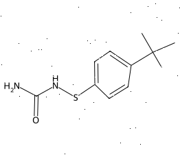 CC(C)(C)c1ccc(SNC(N)=O)cc1